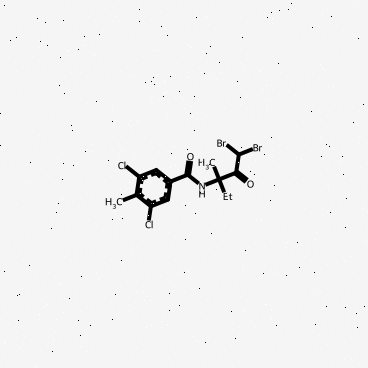 CCC(C)(NC(=O)c1cc(Cl)c(C)c(Cl)c1)C(=O)C(Br)Br